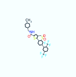 Cc1ccc(CNC(=O)c2cc3c(s2)-c2ccc(-c4cc(C(F)(F)F)ccc4C(F)(F)F)cc2S(=O)(=O)C3)cc1